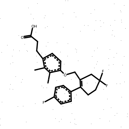 Cc1c(CCC(=O)O)ccc(OCC2=C(c3ccc(F)cc3)CCC(F)(F)C2)c1C